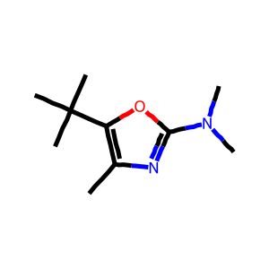 Cc1nc(N(C)C)oc1C(C)(C)C